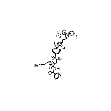 CC(C)CCCn1nc(NC(=O)c2cccnc2)c2cc(Br)c(-c3ccc(OC(=O)NCCCN(C)C)cc3)nc21